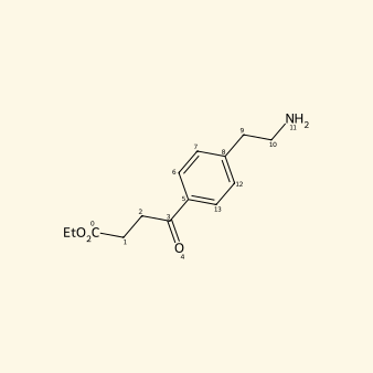 CCOC(=O)CCC(=O)c1ccc(CCN)cc1